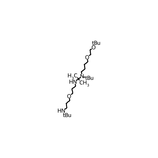 CC(C)(C)NCCCOCCCNC(C)(C)N(CCCCOCCOC(C)(C)C)C(C)(C)C